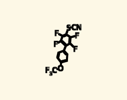 N#CSc1c(F)c(F)c(-c2ccc(OC(F)(F)F)cc2)c(F)c1F